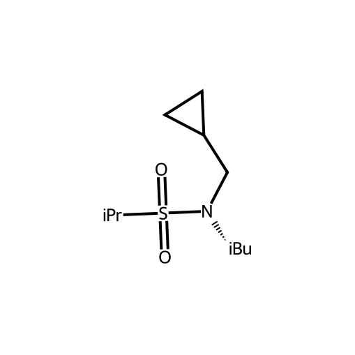 CC[C@@H](C)N(CC1CC1)S(=O)(=O)C(C)C